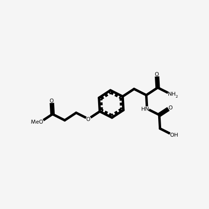 COC(=O)CCOc1ccc(CC(NC(=O)CO)C(N)=O)cc1